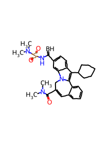 B=C(NS(=O)(=O)N(C)C)c1ccc2c(C3CCCCC3)c3n(c2c1)CC(C(=O)N(C)C)=Cc1ccccc1-3